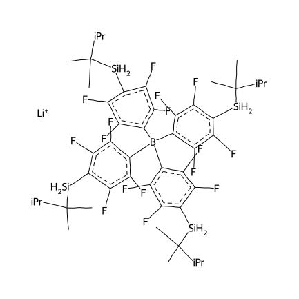 CC(C)C(C)(C)[SiH2]c1c(F)c(F)c([B-](c2c(F)c(F)c([SiH2]C(C)(C)C(C)C)c(F)c2F)(c2c(F)c(F)c([SiH2]C(C)(C)C(C)C)c(F)c2F)c2c(F)c(F)c([SiH2]C(C)(C)C(C)C)c(F)c2F)c(F)c1F.[Li+]